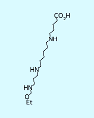 CCOCNCCCNCCCCCCNCCCCC(=O)O